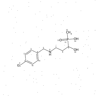 CCc1ccc(CNCCC(O)P(C)(=O)O)cc1